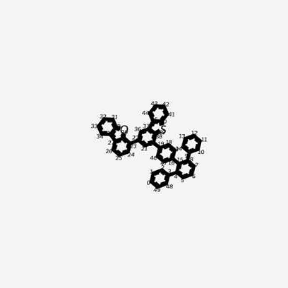 c1ccc(-c2cccc(-c3ccccc3)c2-c2ccc(-c3cc(-c4cccc5c4oc4ccccc45)cc4c3sc3ccccc34)cc2)cc1